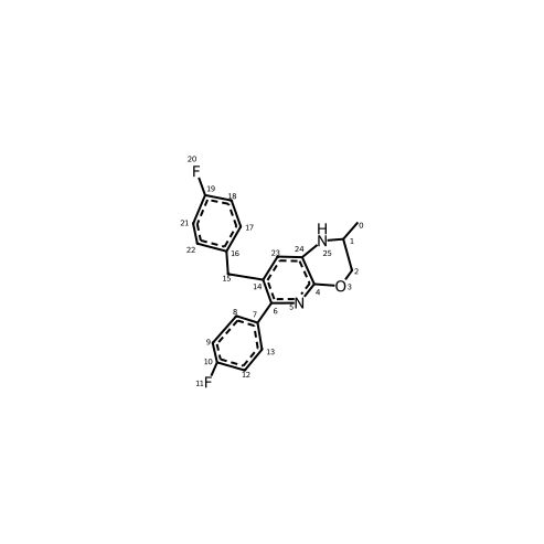 CC1COc2nc(-c3ccc(F)cc3)c(Cc3ccc(F)cc3)cc2N1